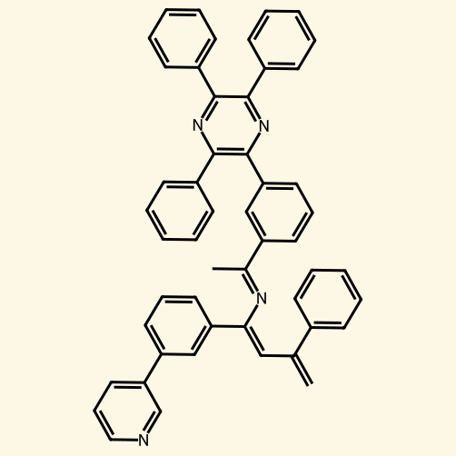 C=C(/C=C(\N=C(/C)c1cccc(-c2nc(-c3ccccc3)c(-c3ccccc3)nc2-c2ccccc2)c1)c1cccc(-c2cccnc2)c1)c1ccccc1